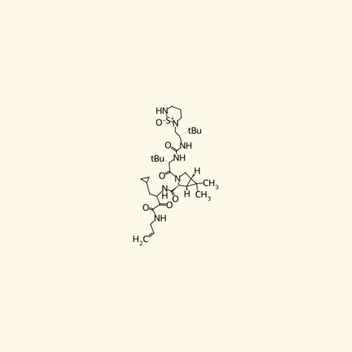 C=CCNC(=O)C(=O)C(CC1CC1)NC(=O)[C@@H]1[C@@H]2[C@H](CN1C(=O)[C@@H](NC(=O)N[C@H](CN1CCCN[S+]1[O-])C(C)(C)C)C(C)(C)C)C2(C)C